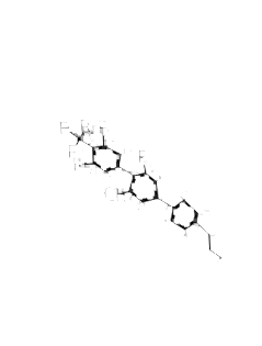 CCCc1ccc(-c2cc(F)c(-c3cc(F)c(C(F)(F)Br)c(F)c3)c(Cl)c2)cc1